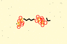 CC(C)OS(=O)(=O)OS(=O)(=O)OCCCCCS(=O)(=O)OS(C)(=O)=O